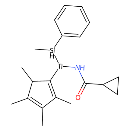 CC1=C(C)C(C)[C]([Ti]([NH]C(=O)C2CC2)[SiH](C)c2ccccc2)=C1C